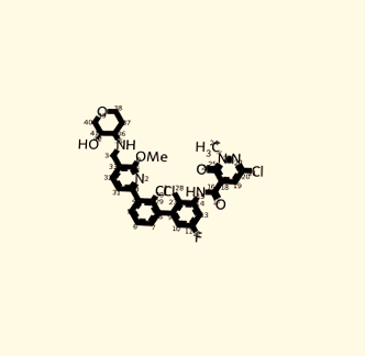 COc1nc(-c2cccc(-c3cc(F)cc(NC(=O)c4cc(Cl)nn(C)c4=O)c3Cl)c2Cl)ccc1CNC1CCOC[C@@H]1O